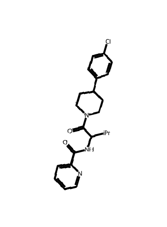 CC(C)C(NC(=O)c1ccccn1)C(=O)N1CCC(c2ccc(Cl)cc2)CC1